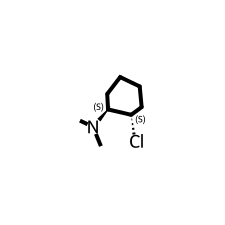 CN(C)[C@H]1CCCC[C@@H]1Cl